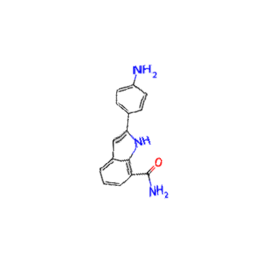 NC(=O)c1cccc2cc(-c3ccc(N)cc3)[nH]c12